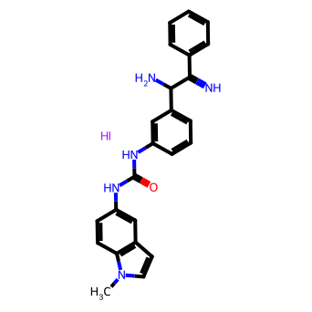 Cn1ccc2cc(NC(=O)Nc3cccc(C(N)C(=N)c4ccccc4)c3)ccc21.I